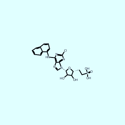 O=P(O)(O)CC[C@H]1O[C@@H](n2cnc3c(Nc4cccc5ccccc45)nc(Cl)nc32)C(O)C1O